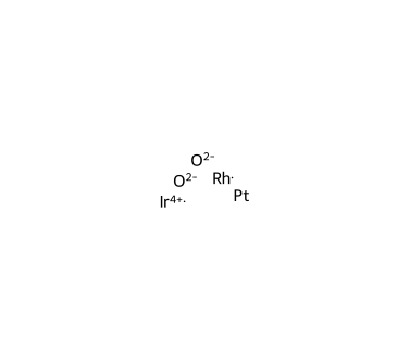 [Ir+4].[O-2].[O-2].[Pt].[Rh]